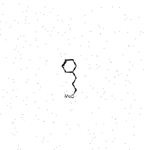 COCCCC1CC=[C]CC1